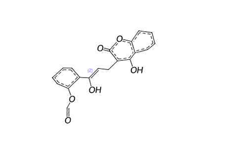 O=COc1ccccc1/C(O)=C/Cc1c(O)c2ccccc2oc1=O